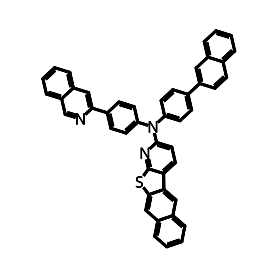 c1ccc2cc(-c3ccc(N(c4ccc(-c5cc6ccccc6cn5)cc4)c4ccc5c(n4)sc4cc6ccccc6cc45)cc3)ccc2c1